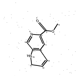 COC(=O)c1cc2c(cn1)NCC=C2